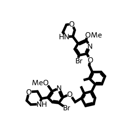 COc1nc(OCc2cccc(-c3cccc(COc4nc(OC)c(C5COCCN5)cc4Br)c3C)c2C)c(Br)cc1C1COCCN1